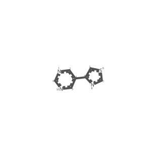 [c]1ncc(-c2cscn2)cn1